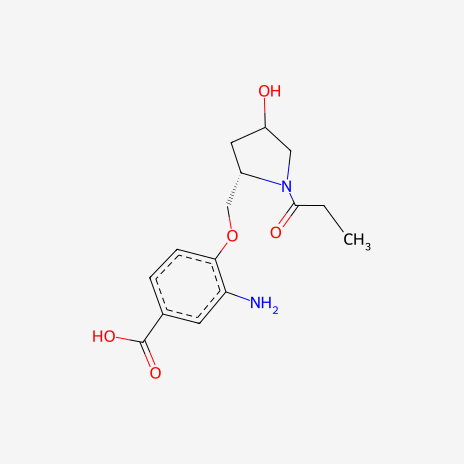 CCC(=O)N1CC(O)C[C@H]1COc1ccc(C(=O)O)cc1N